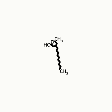 CCCCCCCCCCCC(CCC)CC(=O)O